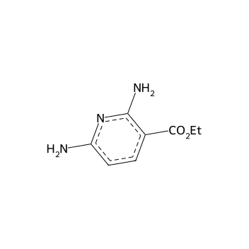 CCOC(=O)c1ccc(N)nc1N